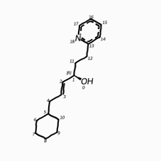 O[C@@H](C=CCC1CCCCC1)CCc1ccccn1